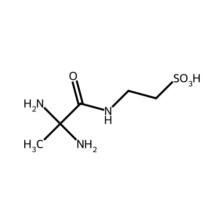 CC(N)(N)C(=O)NCCS(=O)(=O)O